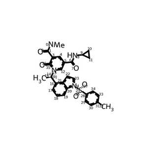 CNC(=O)c1cc(C(=O)NC2CC2)cn([C@H](C)c2cccc3c2ccn3S(=O)(=O)c2ccc(C)cc2)c1=O